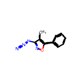 Cc1c(N=[N+]=[N-])noc1-c1ccccc1